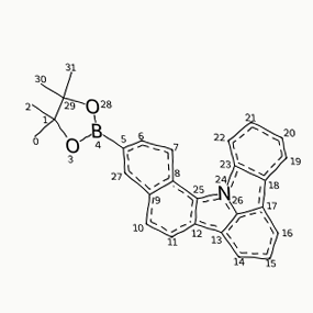 CC1(C)OB(c2ccc3c(ccc4c5cccc6c7ccccc7n(c34)c65)c2)OC1(C)C